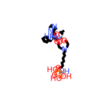 CC(C)C[C@@H](NC(=O)[C@@H](Cc1ccccc1)NC(=O)c1cnccn1)B1OCCCN(CCCCCCCC(=O)NC(P(O)O)[PH](=O)O)CCCO1